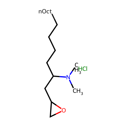 CCCCCCCCCCCCC(CC1CO1)N(C)C.Cl